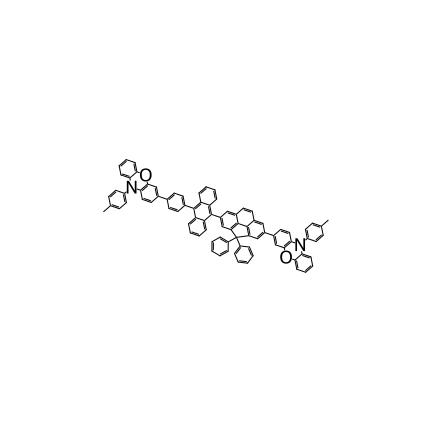 Cc1ccc(N2c3ccccc3Oc3cc(-c4ccc(-c5c6ccccc6c(-c6cc7c8c(ccc9cc(-c%10ccc%11c(c%10)Oc%10ccccc%10N%11c%10ccc(C)cc%10)cc(c98)C7(c7ccccc7)c7ccccc7)c6)c6ccccc56)cc4)ccc32)cc1